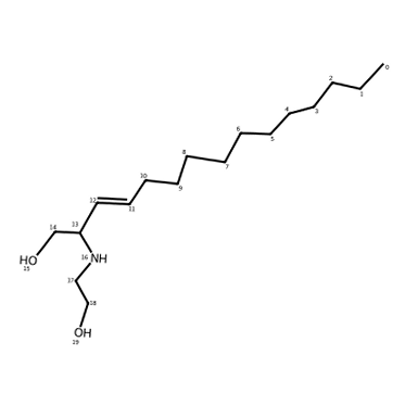 CCCCCCCCCCC/C=C/C(CO)NCCO